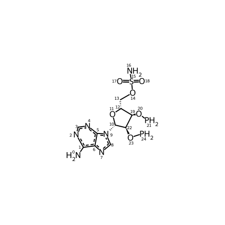 Nc1ncnc2c1ncn2[C@@H]1O[C@H](COS(N)(=O)=O)[C@@H](OP)[C@H]1OP